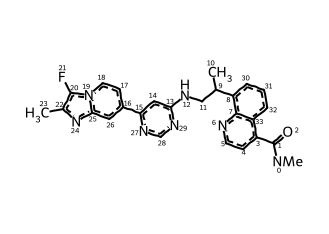 CNC(=O)c1ccnc2c(C(C)CNc3cc(-c4ccn5c(F)c(C)nc5c4)ncn3)cccc12